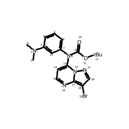 CN(C)c1cccc(N(C(=O)OC(C)(C)C)c2ccnc3c(Br)cnn23)c1